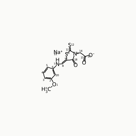 COc1cccc(NC=C2SC(=S)N(CC(=O)[O-])C2=O)c1.[Na+]